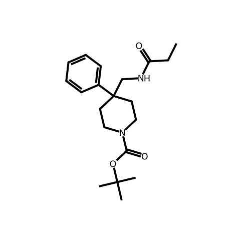 CCC(=O)NCC1(c2ccccc2)CCN(C(=O)OC(C)(C)C)CC1